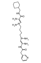 N/C(=C\N(N)CCCCN(N)/C=C(\N)NC(=O)Cc1cccnc1)C(=O)NCC1CCCCC1